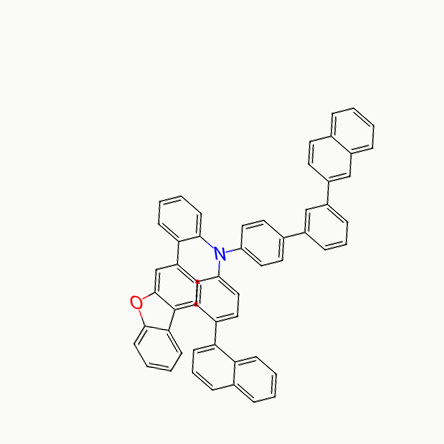 c1cc(-c2ccc(N(c3ccc(-c4cccc5ccccc45)cc3)c3ccccc3-c3ccc4c(c3)oc3ccccc34)cc2)cc(-c2ccc3ccccc3c2)c1